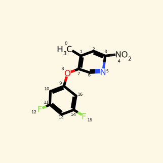 Cc1cc([N+](=O)[O-])ncc1Oc1cc(F)cc(F)c1